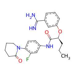 CCC[C@H](Oc1cccc(C(=N)N)c1)C(=O)Nc1ccc(N2CCCCC2=O)c(F)c1